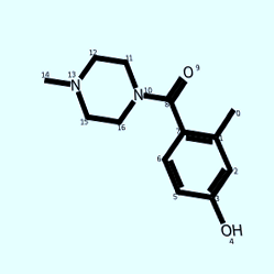 Cc1cc(O)ccc1C(=O)N1CCN(C)CC1